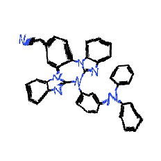 N#Cc1ccc2c(c1)n1c3ccccc3nc1n(-c1cccc(N(c3ccccc3)c3ccccc3)c1)c1nc3ccccc3n21